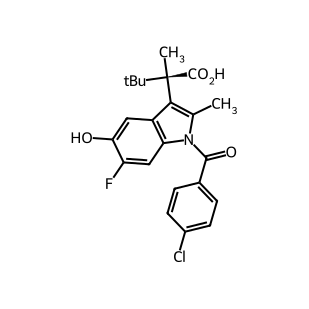 Cc1c([C@](C)(C(=O)O)C(C)(C)C)c2cc(O)c(F)cc2n1C(=O)c1ccc(Cl)cc1